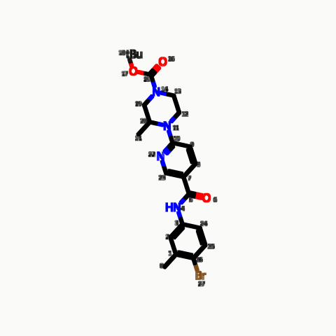 Cc1cc(NC(=O)c2ccc(N3CCN(C(=O)OC(C)(C)C)CC3C)nc2)ccc1Br